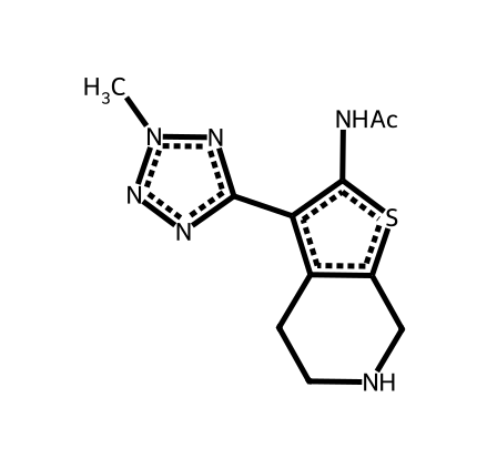 CC(=O)Nc1sc2c(c1-c1nnn(C)n1)CCNC2